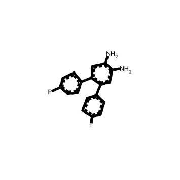 Nc1cc(-c2ccc(F)cc2)c(-c2ccc(F)cc2)cc1N